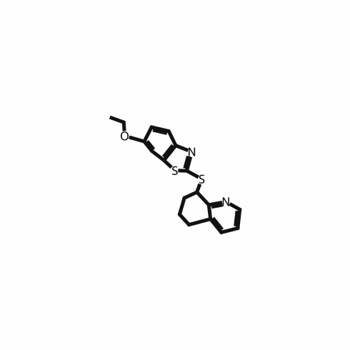 CCOc1ccc2nc(SC3CCCc4cccnc43)sc2c1